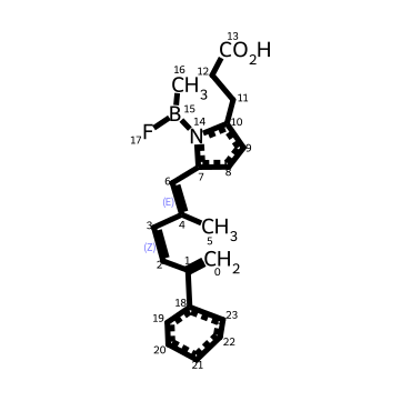 C=C(/C=C\C(C)=C\c1ccc(CCC(=O)O)n1B(C)F)c1ccccc1